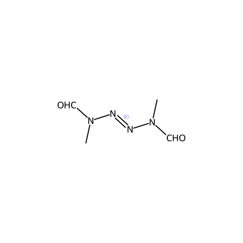 CN(C=O)/N=N/N(C)C=O